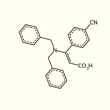 N#Cc1ccc(/C(=C\C(=O)O)N(Cc2ccccc2)Cc2ccccc2)cc1